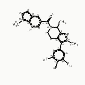 CC1c2nn(C)c(-c3cc(F)c(F)c(F)c3)c2CCN1C(=O)c1cnc2c(ccn2C)c1